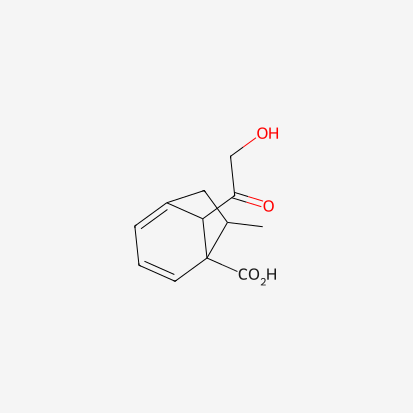 CC1CC2=CC=CC1(C(=O)O)C2C(=O)CO